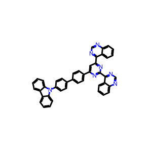 c1ccc2c(-c3cc(-c4ccc(-c5ccc(-n6c7ccccc7c7ccccc76)cc5)cc4)nc(-c4ncnc5ccccc45)n3)ncnc2c1